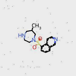 CC1CNCCN(S(=O)(=O)c2cccc3cnccc23)C1